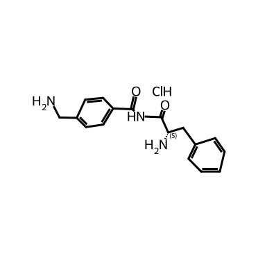 Cl.NCc1ccc(C(=O)NC(=O)[C@@H](N)Cc2ccccc2)cc1